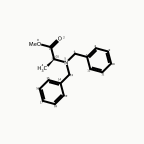 COC(=O)[C@H](C)N(Cc1ccccc1)Cc1ccccc1